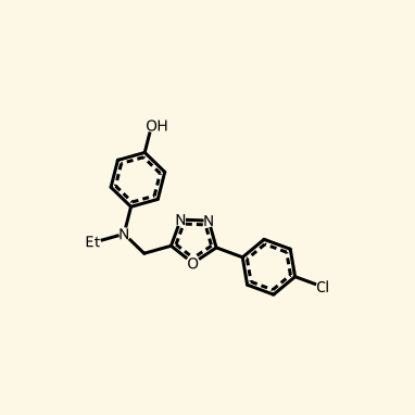 CCN(Cc1nnc(-c2ccc(Cl)cc2)o1)c1ccc(O)cc1